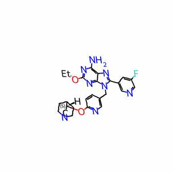 CCOc1nc(N)c2nc(-c3cncc(F)c3)n(Cc3ccc(O[C@@H]4CN5CCC4CC5)nc3)c2n1